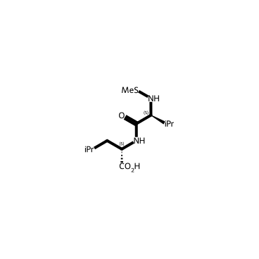 CSN[C@H](C(=O)N[C@@H](CC(C)C)C(=O)O)C(C)C